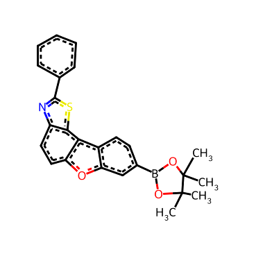 CC1(C)OB(c2ccc3c(c2)oc2ccc4nc(-c5ccccc5)sc4c23)OC1(C)C